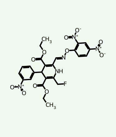 CCOC(=O)C1=C(/C=N/Oc2ccc([N+](=O)[O-])cc2[N+](=O)[O-])NC(CF)=C(C(=O)OCC)C1c1cccc([N+](=O)[O-])c1